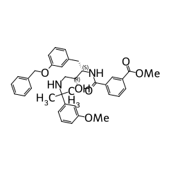 COC(=O)c1cccc(C(=O)N[C@@H](Cc2cccc(OCc3ccccc3)c2)[C@H](O)CNC(C)(C)c2cccc(OC)c2)c1